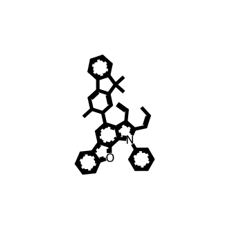 C=Cc1c(/C=C\C)n(-c2ccccc2)c2c1c(C1C=C3C(=CC1C)c1ccccc1C3(C)C)cc1c3ccccc3oc12